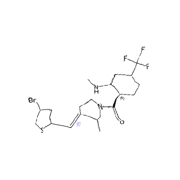 CNC1CC(C(F)(F)F)CC[C@H]1C(=O)N1CC/C(=C\C2CC(Br)CS2)C1C